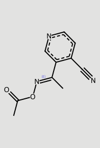 CC(=O)O/N=C(\C)c1cnccc1C#N